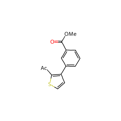 COC(=O)c1cccc(-c2ccsc2C(C)=O)c1